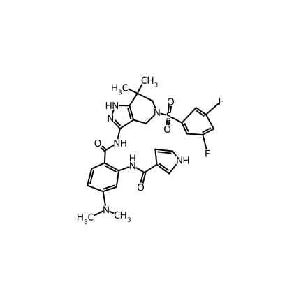 CN(C)c1ccc(C(=O)Nc2n[nH]c3c2CN(S(=O)(=O)c2cc(F)cc(F)c2)CC3(C)C)c(NC(=O)c2cc[nH]c2)c1